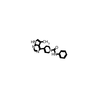 Cc1c[nH]c2ncnc(C3=CCN(C(=O)Nc4ccccc4)CC3)c12